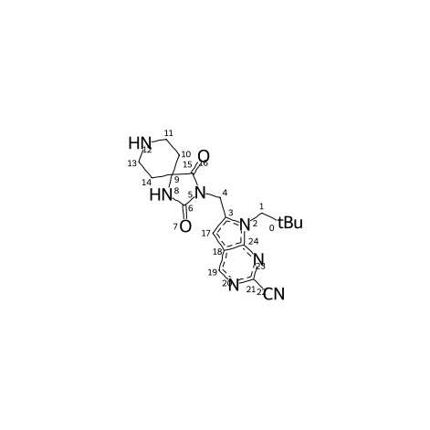 CC(C)(C)Cn1c(CN2C(=O)NC3(CCNCC3)C2=O)cc2cnc(C#N)nc21